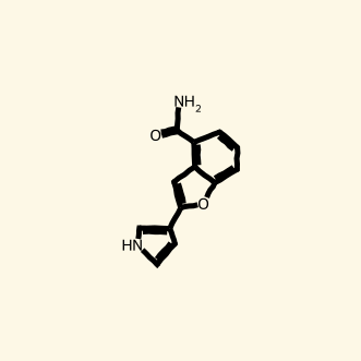 NC(=O)c1cccc2oc(-c3cc[nH]c3)cc12